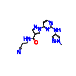 Cn1cc(Nc2nccc(-n3cc(C(=O)NCCC#N)cn3)n2)cn1